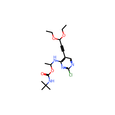 CCOC(C#Cc1cnc(Cl)nc1NC(C)OC(=O)NC(C)(C)C)OCC